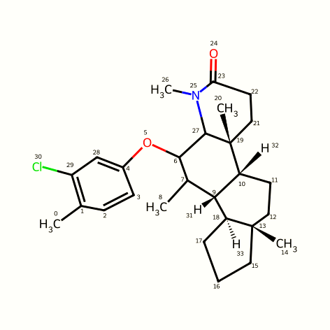 Cc1ccc(OC2C(C)[C@@H]3[C@@H](CC[C@]4(C)CCC[C@@H]34)[C@@]3(C)CCC(=O)N(C)C23)cc1Cl